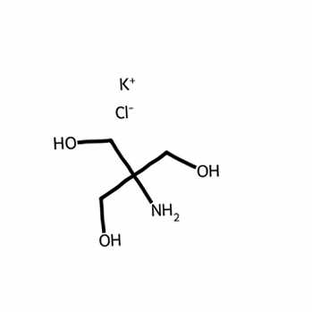 NC(CO)(CO)CO.[Cl-].[K+]